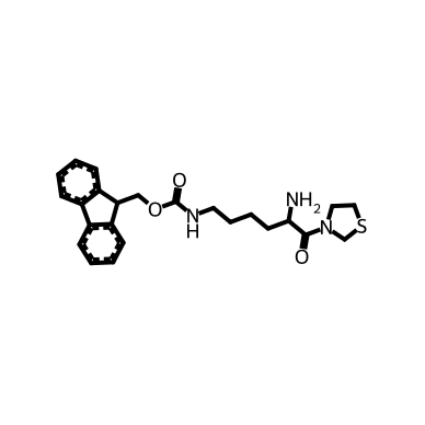 NC(CCCCNC(=O)OCC1c2ccccc2-c2ccccc21)C(=O)N1CCSC1